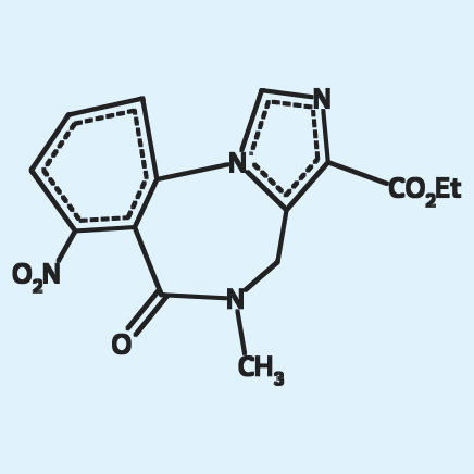 CCOC(=O)c1ncn2c1CN(C)C(=O)c1c-2cccc1[N+](=O)[O-]